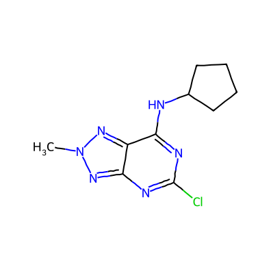 Cn1nc2nc(Cl)nc(NC3CCCC3)c2n1